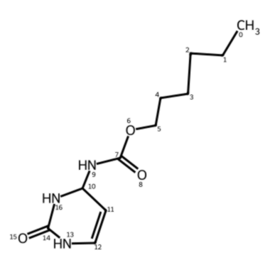 CCCCCCOC(=O)NC1C=CNC(=O)N1